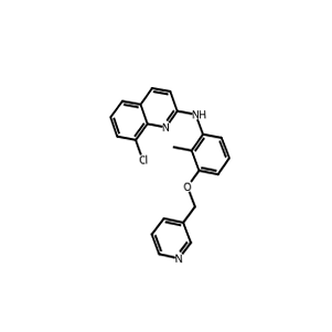 Cc1c(Nc2ccc3cccc(Cl)c3n2)cccc1OCc1cccnc1